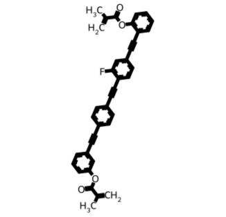 C=C(C)C(=O)Oc1cccc(C#Cc2ccc(C#Cc3ccc(C#Cc4ccccc4OC(=O)C(=C)C)cc3F)cc2)c1